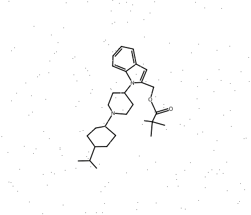 CC(C)C1CCC(N2CCC(n3c(COC(=O)C(C)(C)C)cc4ccccc43)CC2)CC1